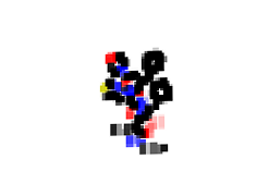 CCCCCCNC(=O)[C@H](C)C[C@H](O)[C@H](CC1CCCCC1)NC(=O)[C@H](Cc1cscn1)NC(=O)[C@@H](CC(=O)N1CCOCC1)Cc1ccccc1